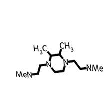 CNCCN1CCN(CCNC)C(C)C1C